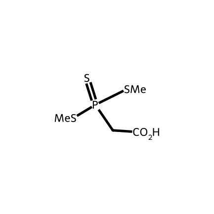 CSP(=S)(CC(=O)O)SC